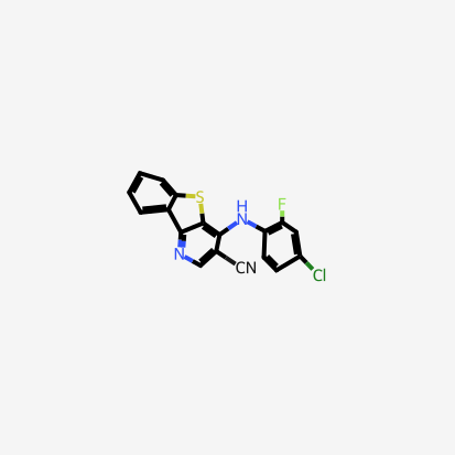 N#Cc1cnc2c(sc3ccccc32)c1Nc1ccc(Cl)cc1F